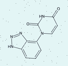 O=c1ccn(-c2cccc3[nH]nnc23)c(=O)[nH]1